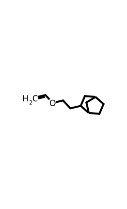 C=COCCC1CC2CCC1C2